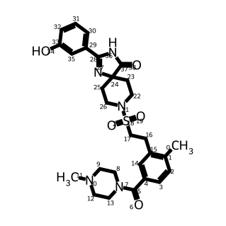 Cc1ccc(C(=O)N2CCN(C)CC2)cc1CCS(=O)(=O)N1CCC2(CC1)N=C(c1cccc(O)c1)NC2=O